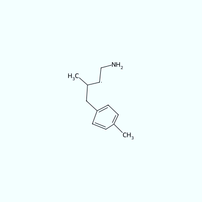 Cc1ccc(CC(C)[CH]CN)cc1